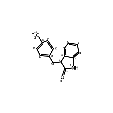 O=C1Nc2ccccc2C1Cc1ccc(C(F)(F)F)cc1